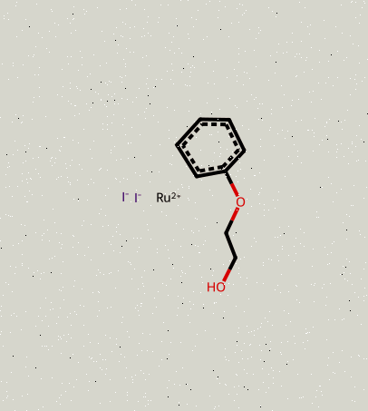 OCCOc1ccccc1.[I-].[I-].[Ru+2]